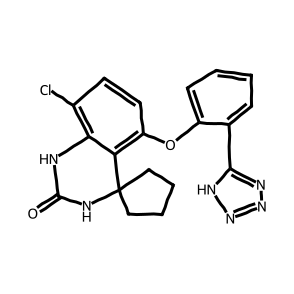 O=C1Nc2c(Cl)ccc(Oc3ccccc3-c3nnn[nH]3)c2C2(CCCC2)N1